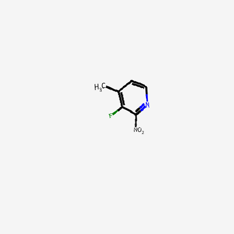 Cc1ccnc([N+](=O)[O-])c1F